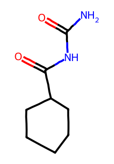 NC(=O)NC(=O)C1CCCCC1